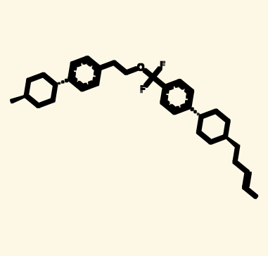 C/C=C/CC[C@H]1CC[C@H](c2ccc(C(F)(F)OCCc3ccc([C@H]4CC[C@H](C)CC4)cc3)cc2)CC1